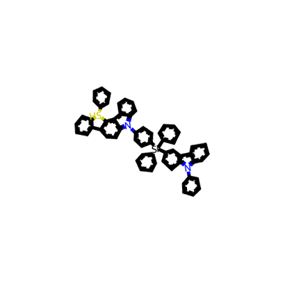 c1ccc(-n2c3ccccc3c3cc([Si](c4ccccc4)(c4ccccc4)c4ccc(-n5c6ccccc6c6c7c(ccc65)-c5ccccc5[SH]7c5ccccc5)cc4)ccc32)cc1